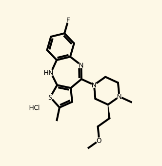 COCC[C@H]1CN(C2=Nc3cc(F)ccc3Nc3sc(C)cc32)CCN1C.Cl